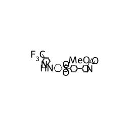 COC1(c2cc(-c3ccc(S(=O)(=O)[C@H]4CC[C@H](Nc5ccc(C(F)(F)F)cn5)CC4)cc3)ccn2)COC1